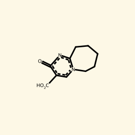 O=C(O)c1cn2c(nc1=O)CCCCC2